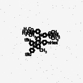 CCCCCCc1ccc(N2c3cc(N(c4ccc(B5OC(C)(C)C(C)(C)O5)cc4)c4cccc(B5OC(C)(C)C(C)(C)O5)c4)ccc3B3c4cc(C(C)(C)C)ccc4N(c4ccc(C(C)(C)C)cc4)c4cc(C)cc2c43)cc1